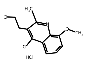 COc1cccc2c(Cl)c(CCCl)c(C)nc12.Cl